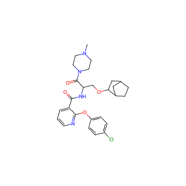 CN1CCN(C(=O)C(COC2CC3CCC2C3)NC(=O)c2cccnc2Oc2ccc(Cl)cc2)CC1